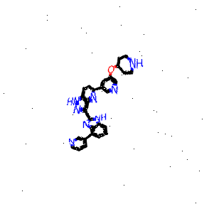 c1cncc(-c2cccc3[nH]c(-c4n[nH]c5ccc(-c6cncc(OC7CCNCC7)c6)nc45)nc23)c1